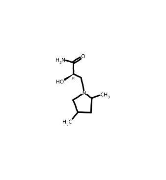 CC1CC(C)N(C[C@@H](O)C(N)=O)C1